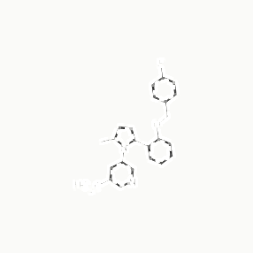 Cc1ccc(-c2ccccc2OCc2ccc(F)cc2)n1-c1cncc(C(=O)O)c1